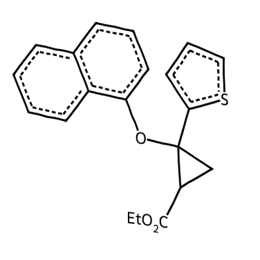 CCOC(=O)C1CC1(Oc1cccc2ccccc12)c1cccs1